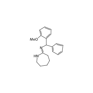 COc1ccccc1C(N=C1CCCCCN1)c1ccccc1